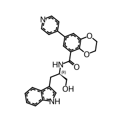 O=C(N[C@@H](CO)Cc1c[nH]c2ccccc12)c1cc(-c2ccncc2)cc2c1OCCO2